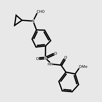 COc1ccccc1C(=O)NS(=O)(=O)c1ccc(N(C=O)C2CC2)cc1